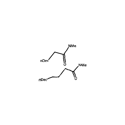 CCCCCCCCCCCC(=O)NC.CCCCCCCCCCCCCC(=O)NC